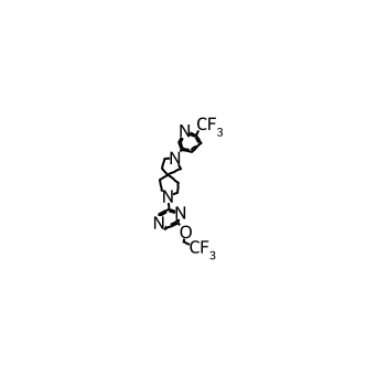 FC(F)(F)COc1cncc(N2CCC3(CCN(c4ccc(C(F)(F)F)nc4)C3)CC2)n1